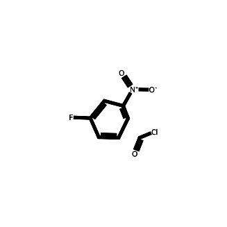 O=CCl.O=[N+]([O-])c1cccc(F)c1